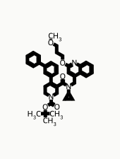 COCCCOc1cc(CN(C(=O)C2=C(c3cccc(-c4ccccc4)c3)CCN(C(=O)OC(C)(C)C)C2)C2CC2)c2ccccc2n1